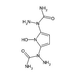 NC(=O)N(N)c1ccc(N(N)C(N)=O)n1O